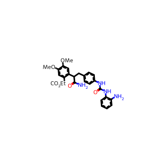 CCOC(=O)c1cc(OC)c(OC)cc1C(Cc1ccc(NC(=O)Nc2ccccc2N)cc1)C(N)=O